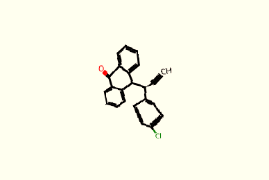 C#C[C@@H](c1ccc(Cl)cc1)C1c2ccccc2C(=O)c2ccccc21